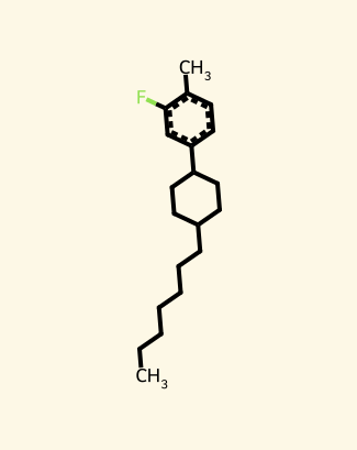 CCCCCCCC1CCC(c2ccc(C)c(F)c2)CC1